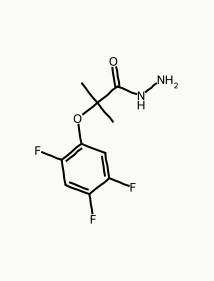 CC(C)(Oc1cc(F)c(F)cc1F)C(=O)NN